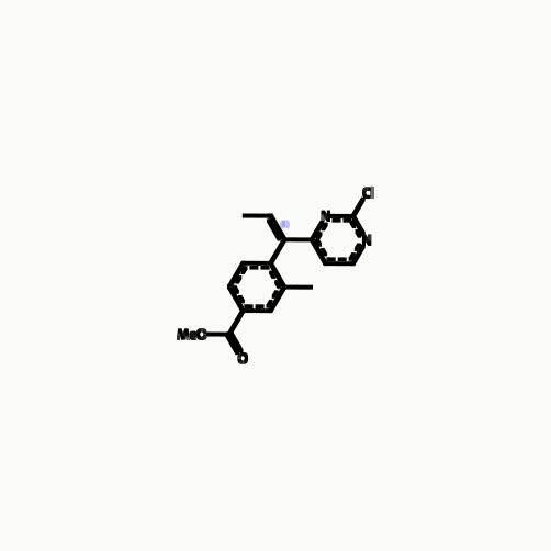 C/C=C(/c1ccnc(Cl)n1)c1ccc(C(=O)OC)cc1C